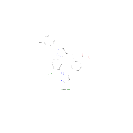 Cc1cccc(-n2cc(Cc3cc(-c4cc(C(F)(F)F)nn4-c4ccccc4Cl)ccc3C(=O)O)cn2)c1